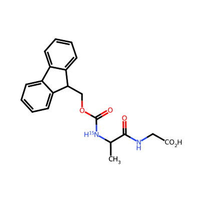 CC([15NH]C(=O)OCC1c2ccccc2-c2ccccc21)C(=O)NCC(=O)O